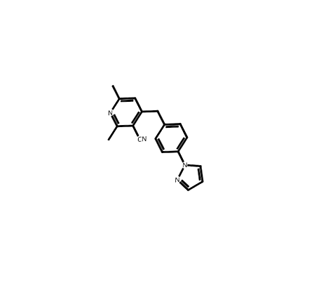 Cc1cc(Cc2ccc(-n3cccn3)cc2)c(C#N)c(C)n1